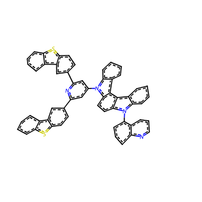 c1cc(-n2c3ccccc3c3c4c5ccccc5n(-c5cc(-c6ccc7sc8ccccc8c7c6)nc(-c6ccc7sc8ccccc8c7c6)c5)c4ccc32)c2cccnc2c1